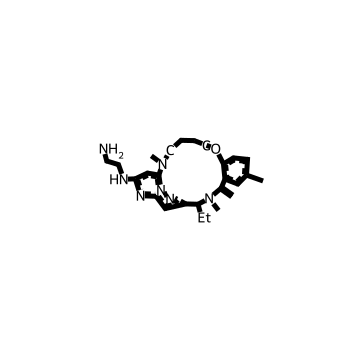 C=C1c2cc(C)ccc2OCCCCN(C)c2cc(NCCN)nc3cc(nn23)C(CC)N1C